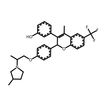 CC1=C(c2cccc(O)c2)C(c2ccc(OCC(C)N3CCC(C)C3)cc2)Oc2ccc(C(F)(F)F)cc21